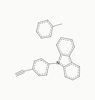 C#Cc1ccc(-n2c3ccccc3c3ccccc32)cc1.Cc1ccccc1